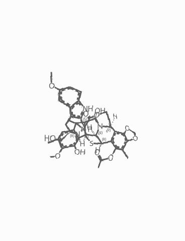 COc1ccc2[nH]c3c(c2c1)C[C@H](CO)N[C@]31CS[C@@H]2c3c(OC(C)=O)c(C)c4c(c3[C@H](COC1=O)N1[C@@H]2[C@H]2c3c(cc(C)c(OC)c3O)C3(C)[C@@H]([C@@H]1O)N23)OCO4